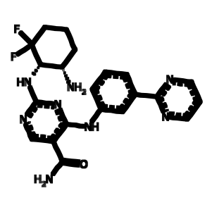 NC(=O)c1cnc(N[C@H]2[C@@H](N)CCCC2(F)F)nc1Nc1cccc(-c2ncccn2)c1